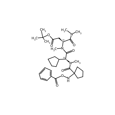 CN(C)C(=O)[C@H](CC(=O)OC(C)(C)C)N(C)C(=O)[C@H](C1CCCC1)N(C)C(=O)C1(NOC(=O)c2ccccc2)CCCC1